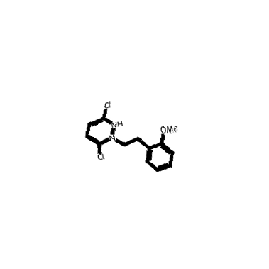 COc1ccccc1CCN1NC(Cl)=CC=C1Cl